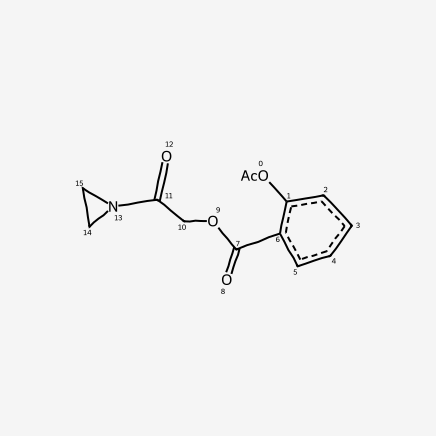 CC(=O)Oc1ccccc1C(=O)OCC(=O)N1CC1